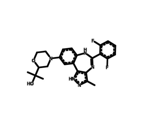 Cc1n[nH]c2c1N=C(c1c(F)cccc1F)Nc1ccc(N3CCOC(C(C)(C)O)C3)cc1-2